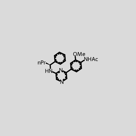 CCC[C@H](Nc1cncc(-c2ccc(NC(C)=O)c(OC)c2)n1)c1ccccc1